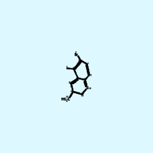 Cc1c(Br)ccc2c1=CC(C(=O)O)CN=2